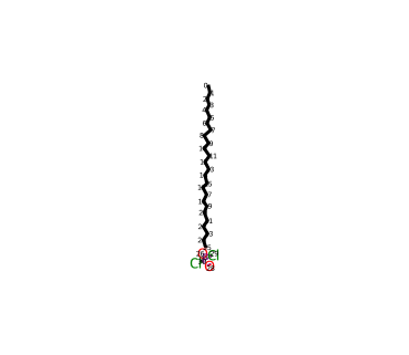 CCCCCCCCCCCCCCCCCCCCCCCCCCOP(=O)(Cl)Cl